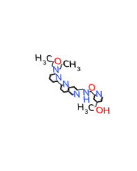 C[C@@H]1CN(c2cccc(-c3ccc4cnc(CNC(=O)c5cc([C@@H](C)O)ccn5)cc4n3)n2)C[C@H](C)O1